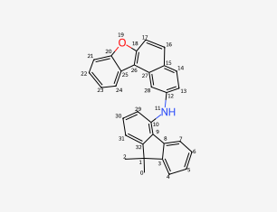 CC1(C)c2ccccc2-c2c(Nc3ccc4ccc5oc6ccccc6c5c4c3)cccc21